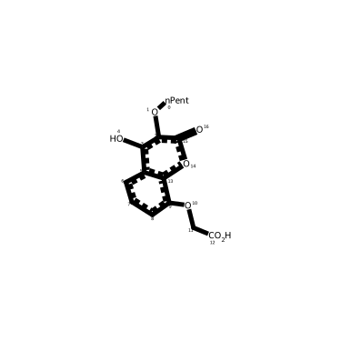 CCCCCOc1c(O)c2cccc(OCC(=O)O)c2oc1=O